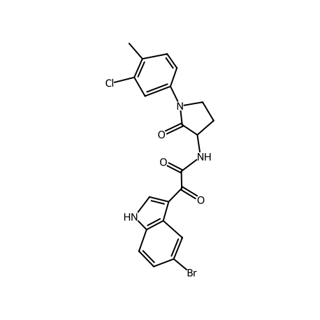 Cc1ccc(N2CCC(NC(=O)C(=O)c3c[nH]c4ccc(Br)cc34)C2=O)cc1Cl